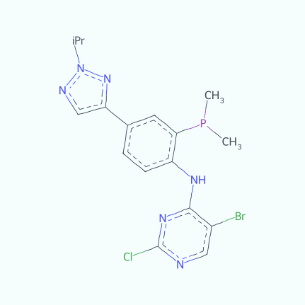 CC(C)n1ncc(-c2ccc(Nc3nc(Cl)ncc3Br)c(P(C)C)c2)n1